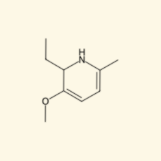 CCC1NC(C)=CC=C1OC